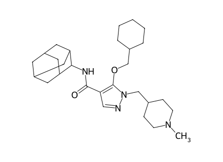 CN1CCC(Cn2ncc(C(=O)NC3C4CC5CC(C4)CC3C5)c2OCC2CCCCC2)CC1